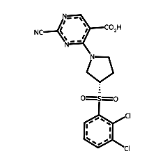 N#Cc1ncc(C(=O)O)c(N2CC[C@H](S(=O)(=O)c3cccc(Cl)c3Cl)C2)n1